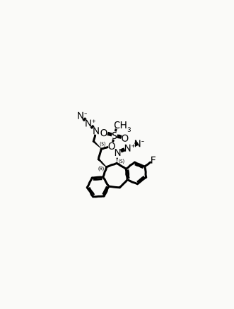 CS(=O)(=O)O[C@H](CN=[N+]=[N-])C[C@@H]1c2ccccc2Cc2ccc(F)cc2[C@H]1N=[N+]=[N-]